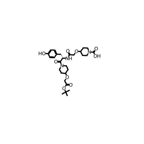 CC(C)(C)OC(=O)COC1CCN(C(=O)[C@H](Cc2ccc(O)cc2)NC(=O)COC2CCN(C(=O)O)CC2)CC1